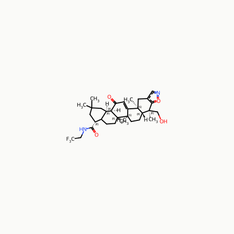 CC1(C)C[C@@H]2C(CC[C@]3(C)[C@@H]2C(=O)C=C2[C@@]4(C)Cc5cnoc5[C@@](C)(CO)[C@@H]4CC[C@]23C)[C@H](C(=O)NCC(F)(F)F)C1